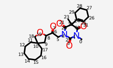 CN1C(=O)N(CC(=O)C2CC3(CCCCCCC3)CO2)C(=O)C(C)(C2=CCCCC2)C1=O